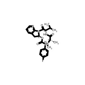 CN[C@@H](C)C(=O)N[C@H](C(=O)N1c2ncccc2C[C@@H]1OC(=O)Nc1ccc(F)cc1)C(C)C